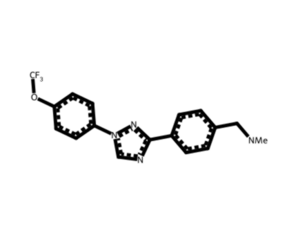 CNCc1ccc(-c2ncn(-c3ccc(OC(F)(F)F)cc3)n2)cc1